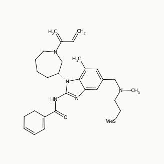 C=CC(=C)N1CCCC[C@@H](n2c(NC(=O)C3=CC=CCC3)nc3cc(CN(C)CCSC)cc(C)c32)C1